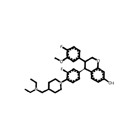 CCN(CC)CC1CCN(c2ccc([C@@H]3c4ccc(O)cc4OCC3c3ccc(F)c(OC)c3)cc2F)CC1